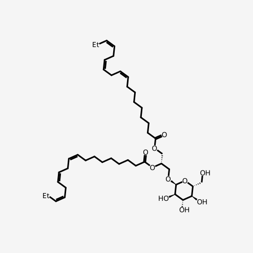 CC/C=C\C/C=C\C/C=C\CCCCCCCC(=O)OC[C@H](CO[C@H]1O[C@H](CO)[C@@H](O)[C@H](O)[C@H]1O)OC(=O)CCCCCCC/C=C\C/C=C\C/C=C\CC